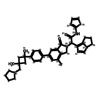 CC1(CN2CCCC2)CC(C)(c2ccc(-c3cc(F)c4c(c3)C(=O)N(C(C(=O)Nc3nccs3)c3ncn5c3CCC5)C4)cc2)C1